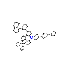 c1ccc(-c2ccc(-c3ccc(N(c4ccc(-c5cccc(-c6cccc7ccccc67)c5)cc4)c4cccc5c4-c4ccccc4C5(c4ccccc4)c4ccccc4)cc3)cc2)cc1